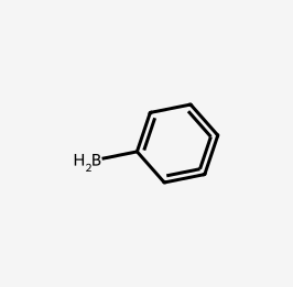 BC1=CC=C=C=C1